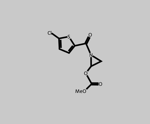 COC(=O)OC1CN1C(=O)c1ccc(Cl)s1